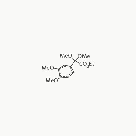 CCOC(=O)C(OC)(OC)c1ccc(OC)c(OC)c1